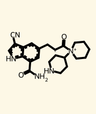 N#Cc1c[nH]c2c(C(N)=O)cc(C[CH]C(=O)[N+]3(C4CCNCC4)CCCCC3)cc12